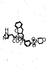 O=C(CC(Cc1ccccc1)C(=O)N[C@H](Cc1cnc[nH]1)C(=O)O)c1cccc(S(=O)(=O)N2CCOCC2)c1